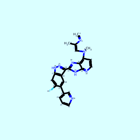 C=N/C(C)=C\N(C)c1ccnc2[nH]c(-c3n[nH]c4cc(F)c(-c5cccnc5)cc34)nc12